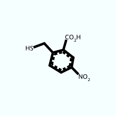 O=C(O)c1cc([N+](=O)[O-])ccc1CS